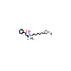 CCCCCCCCNC(C)=CC(=O)c1ccccc1